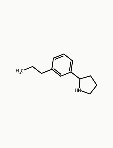 CCCc1cccc(C2CCCN2)c1